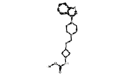 CC(C)(C)OC(=O)NC1CC(CCN2CCN(c3nsc4ccccc34)CC2)C1